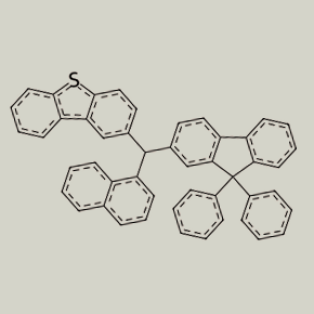 c1ccc(C2(c3ccccc3)c3ccccc3-c3ccc(C(c4ccc5sc6ccccc6c5c4)c4cccc5ccccc45)cc32)cc1